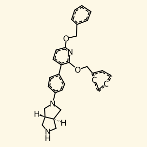 c1ccc(COc2ccc(-c3ccc(N4C[C@H]5CNC[C@@H]5C4)cc3)c(OCc3ccccc3)n2)cc1